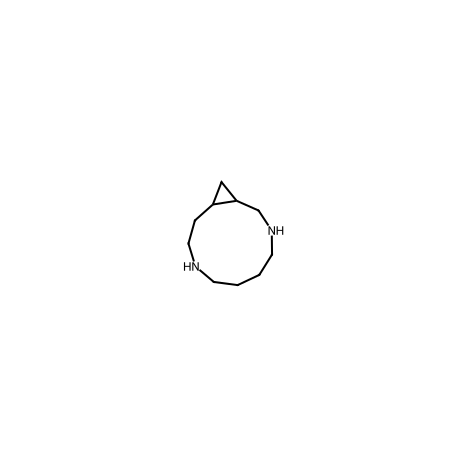 C1CCNCC2CC2CCNC1